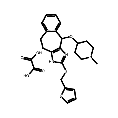 CN1CCC(OC2c3ccccc3CCc3[nH]c(SCc4cccs4)nc32)CC1.O=C(O)C(=O)O